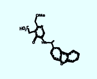 COCc1ncc(NC(C)c2ccc3oc4ccccc4c3c2)c(=O)n1CC(=O)O